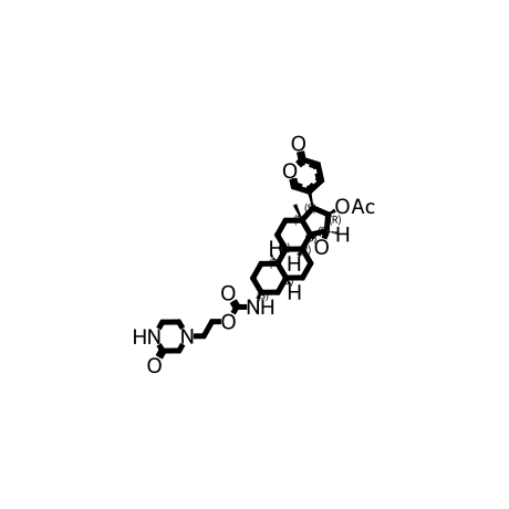 CC(=O)O[C@H]1[C@H]2O[C@]23[C@@H]2CC[C@H]4C[C@@H](NC(=O)OCCN5CCNC(=O)C5)CC[C@@]4(C)[C@H]2CC[C@]3(C)[C@H]1c1ccc(=O)oc1